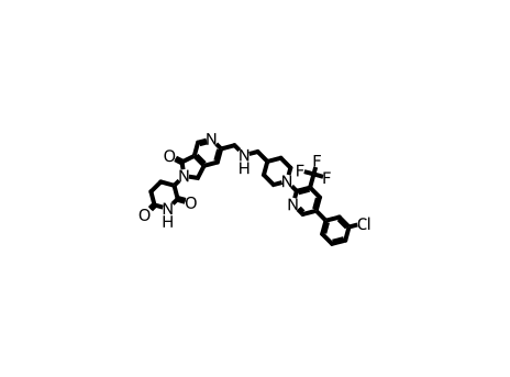 O=C1CCC(N2Cc3cc(CNCC4CCN(c5ncc(-c6cccc(Cl)c6)cc5C(F)(F)F)CC4)ncc3C2=O)C(=O)N1